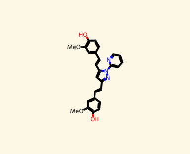 COc1cc(/C=C/c2cc(/C=C/c3ccc(O)c(OC)c3)n(-c3ccccn3)n2)ccc1O